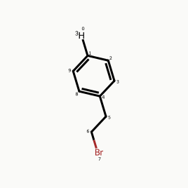 [3H]c1ccc(CCBr)cc1